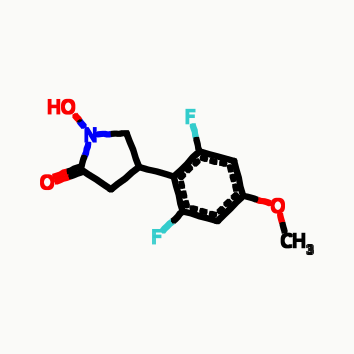 COc1cc(F)c(C2CC(=O)N(O)C2)c(F)c1